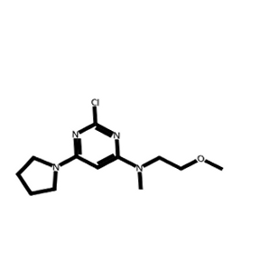 COCCN(C)c1cc(N2CCCC2)nc(Cl)n1